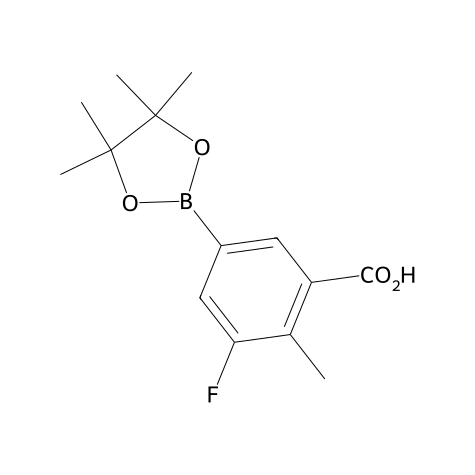 Cc1c(F)cc(B2OC(C)(C)C(C)(C)O2)cc1C(=O)O